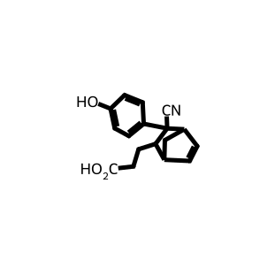 N#CC1(c2ccc(O)cc2)C2C=CC(C2)C1CCC(=O)O